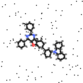 Cc1cccc(-c2nc(-c3ccccc3)c3oc4cc(-c5cccc(-n6c7ccccc7c7ccccc76)c5)ccc4c3n2)c1